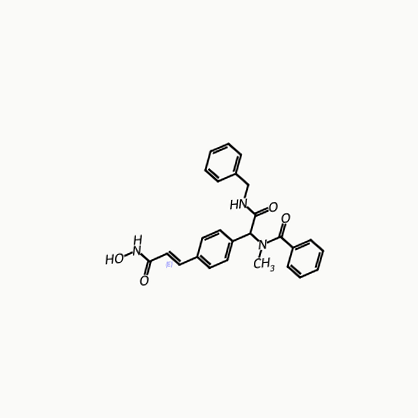 CN(C(=O)c1ccccc1)C(C(=O)NCc1ccccc1)c1ccc(/C=C/C(=O)NO)cc1